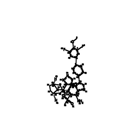 COc1c(F)cc(-c2ccc(-c3cnn4c(N)c(S(C)(=O)=O)c([C@@H]5C[C@H]6CC[C@@H](C5)N6C(=O)c5nnc[nH]5)nc34)cn2)cc1F